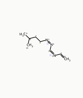 C=C/N=C\N=N/CCC(C)C